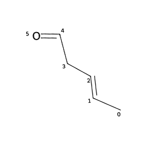 CC=CCC=O